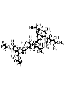 CC[C@H](C)[C@H](NC(=O)[C@@H](CCCNC(=N)N)NC(=O)[C@H](CC(C)C)NC(=O)[C@@H](N)[C@H](O)C(C)C)C(=O)N[C@H](C(=O)NCC(=O)N[C@H](C(=O)N[C@@H](COC(=O)C(F)(F)F)C(=O)O)[C@H](C)OC(=O)C(F)(F)F)[C@H](C)O